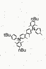 CCCCc1cc(C)c(N(C2=CC=CC(C)C=C2)c2ccc(-c3ccc(N(c4ccc(C(C)(C)C)cc4)c4c(C)cc(CCCC)cc4C)cc3C)c(C)c2)c(C)c1